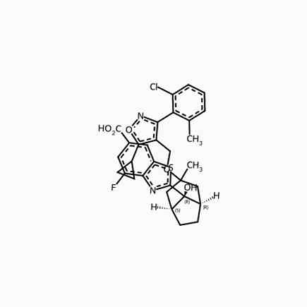 Cc1cccc(Cl)c1-c1noc(C2CC2)c1COC1(C)C[C@H]2CC[C@@H](C1)[C@]2(O)c1nc2c(F)cc(C(=O)O)cc2s1